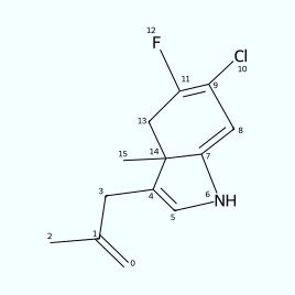 C=C(C)CC1=CNC2=CC(Cl)=C(F)CC12C